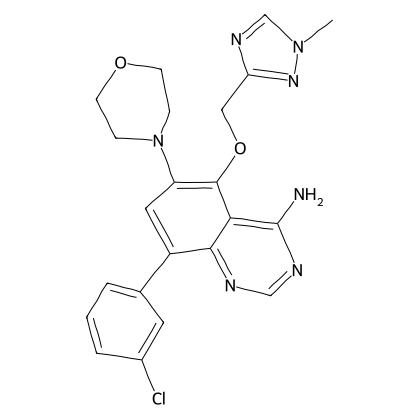 Cn1cnc(COc2c(N3CCOCC3)cc(-c3cccc(Cl)c3)c3ncnc(N)c23)n1